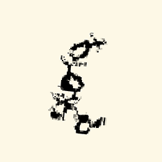 N#CN1CCC[C@@H](n2nc(-c3ccc(C(=O)Nc4cc(C(F)(F)F)ccn4)cc3)c3c(N)ncnc32)C1